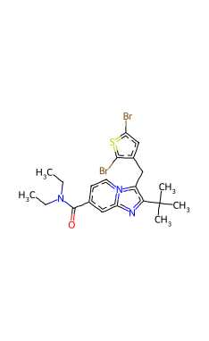 CCN(CC)C(=O)c1ccn2c(Cc3cc(Br)sc3Br)c(C(C)(C)C)nc2c1